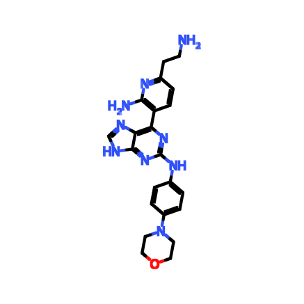 NCCc1ccc(-c2nc(Nc3ccc(N4CCOCC4)cc3)nc3[nH]cnc23)c(N)n1